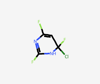 FC1=CC(F)(Cl)NC(F)=N1